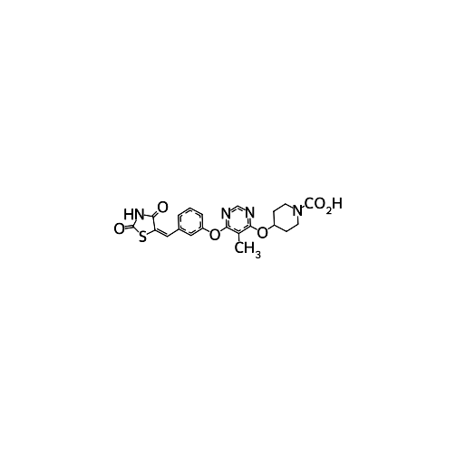 Cc1c(Oc2cccc(C=C3SC(=O)NC3=O)c2)ncnc1OC1CCN(C(=O)O)CC1